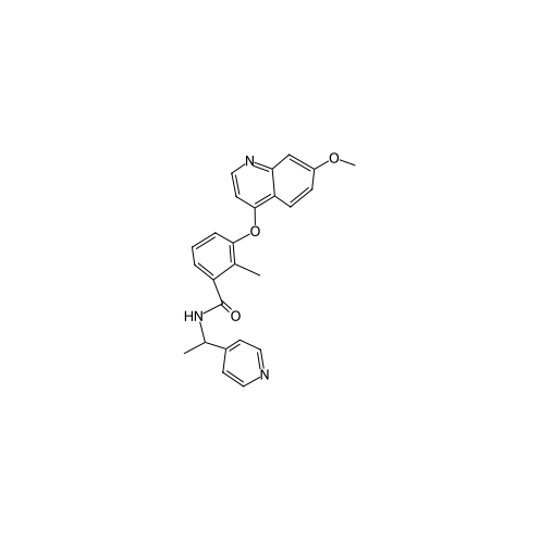 COc1ccc2c(Oc3cccc(C(=O)NC(C)c4ccncc4)c3C)ccnc2c1